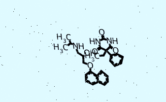 CC(C)NCC(O)COc1cccc2ccccc12.CCC1(c2ccccc2)C(=O)NC(=O)NC1=O